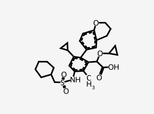 Cc1c(NS(=O)(=O)CC2CCCCC2)cc(C2CC2)c(-c2ccc3c(c2)CCCO3)c1C(OC1CC1)C(=O)O